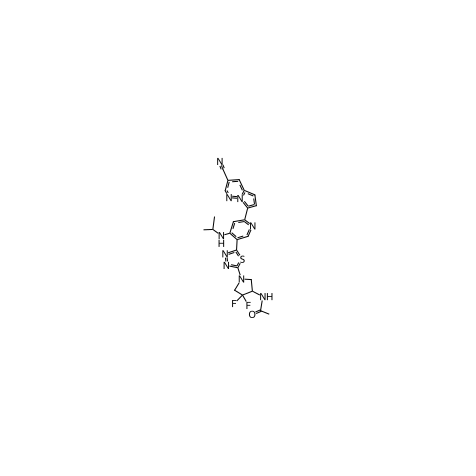 CC(=O)NC1CN(c2nnc(-c3cnc(-c4ccc5cc(C#N)cnn45)cc3NC(C)C)s2)CC1(F)F